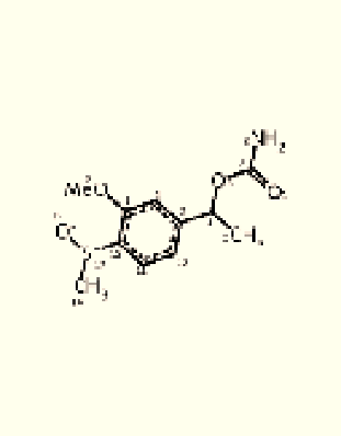 COc1cc(C(C)OC(N)=O)ccc1[S+](C)[O-]